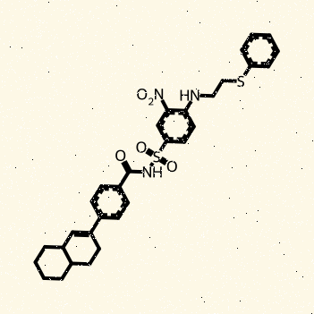 O=C(NS(=O)(=O)c1ccc(NCCSc2ccccc2)c([N+](=O)[O-])c1)c1ccc(C2=CC3CCCCC3CC2)cc1